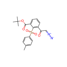 Cc1ccc(S(=O)(=O)c2c(C(=O)C=[N+]=[N-])cccc2C(=O)OC(C)(C)C)cc1